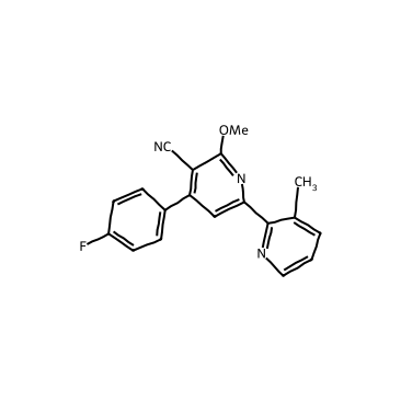 COc1nc(-c2ncccc2C)cc(-c2ccc(F)cc2)c1C#N